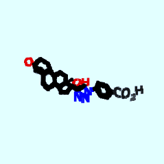 C[C@]12CCC3C4CCC(=O)C=C4CCC3C1CC[C@@]2(O)c1cn(-c2ccc(C(=O)O)cc2)nn1